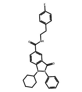 O=C(NCCc1ccc(F)cc1)c1ccc2c(c1)c(=O)n(-c1ccccc1)n2C1CCCCC1